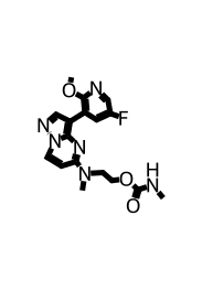 CNC(=O)OCCN(C)c1ccn2ncc(-c3cc(F)cnc3OC)c2n1